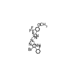 COc1ccc(-c2nnc(CN3C=Nc4c([nH]c(-c5ccccc5F)c4Br)C3)s2)c(C(F)(F)F)c1